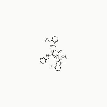 CCC1CCCCN1C(=O)CC(NC(=O)NCc1ccccc1)C(=O)N[C@@H](C)c1nc2c(F)cccc2[nH]1